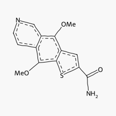 COc1c2cnccc2c(OC)c2sc(C(N)=O)cc12